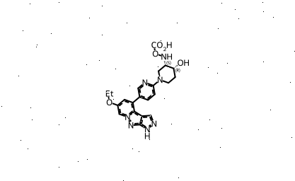 CCOc1cc(-c2ccc(N3CC[C@@H](O)[C@@H](NOC(=O)O)C3)nc2)c2c3cn[nH]c3nn2c1